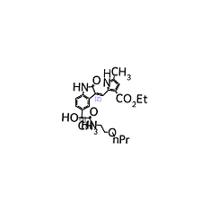 CCCOCCNC(=O)[C@@](C)(O)c1ccc2c(c1)/C(=C/c1[nH]c(C)cc1C(=O)OCC)C(=O)N2